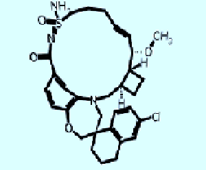 CO[C@H]1/C=C/CCCS(N)(=O)=NC(=O)c2ccc3c(c2)N(C[C@@H]2CC[C@H]21)C[C@@]1(CCCc2cc(Cl)ccc21)CO3